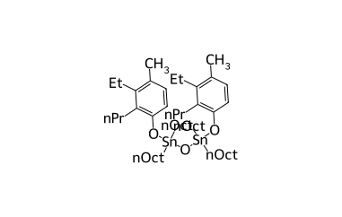 CCCCCCC[CH2][Sn]([CH2]CCCCCCC)([O]c1ccc(C)c(CC)c1CCC)[O][Sn]([CH2]CCCCCCC)([CH2]CCCCCCC)[O]c1ccc(C)c(CC)c1CCC